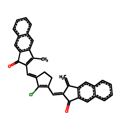 C=C1/C(=C\C2=C(Cl)C(=C/C3=C(C)c4cc5ccccc5cc4C3=O)/CC2)C(=O)c2cc3ccccc3cc21